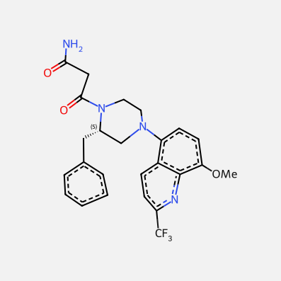 COc1ccc(N2CCN(C(=O)CC(N)=O)[C@@H](Cc3ccccc3)C2)c2ccc(C(F)(F)F)nc12